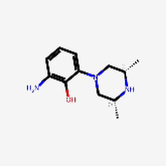 C[C@@H]1CN(c2cccc(N)c2O)C[C@H](C)N1